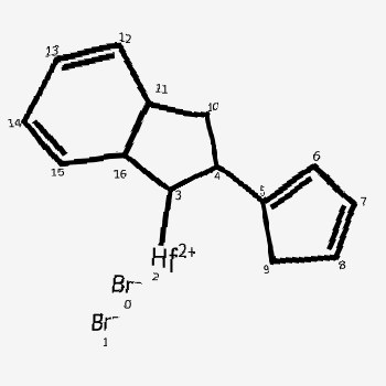 [Br-].[Br-].[Hf+2][CH]1C(C2=CC=CC2)CC2C=CC=CC21